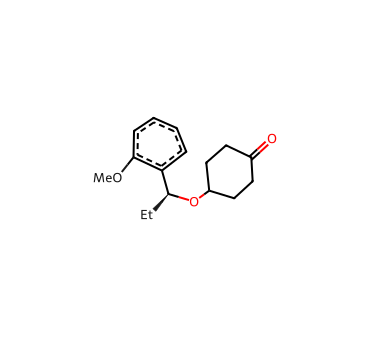 CC[C@H](OC1CCC(=O)CC1)c1ccccc1OC